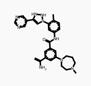 C=C(N)c1cc(C(=O)Nc2ccc(C)c(N3C=C(c4cncnc4)NN3)c2)cc(N2CCCN(C)CC2)c1